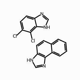 Clc1ccc2nc[nH]c2c1Cl.c1ccc2c(c1)ccc1[nH]cnc12